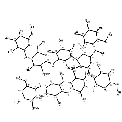 CC(=O)NC1C(O)[C@H](O[C@@H]2OC(CO)[C@H](O)[C@H](O)C2O)[C@H](CO)O[C@H]1OC1[C@@H](OCC2O[C@@H](O[C@@H]3C(CO)O[C@@H](O[C@@H]4C(CO)O[C@@H](C)C(NC(C)=O)[C@H]4O)C(NC(C)=O)[C@H]3O)C(O)[C@@H](O[C@H]3O[C@@H](CO)C(O)C(O)C3O[C@@H]3OC(CO)[C@@H](OC4OC(CO)[C@H](O)[C@H](O)[C@@H]4O)[C@H](O)C3NC(C)=O)[C@@H]2O)OC(CO)[C@@H](O)[C@@H]1O